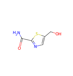 NC(=O)c1ncc(CO)s1